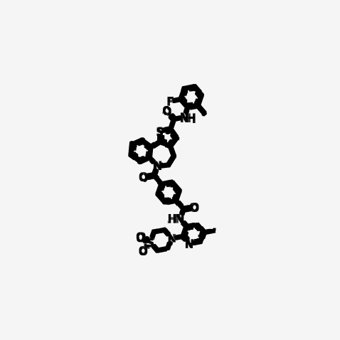 Cc1cnc(N2CCS(=O)(=O)CC2)c(NC(=O)c2ccc(C(=O)N3CCc4cc(C(=O)Nc5c(C)cccc5F)sc4-c4ccccc43)cc2)c1